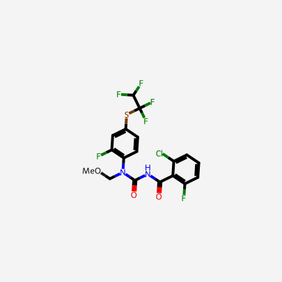 COCN(C(=O)NC(=O)c1c(F)cccc1Cl)c1ccc(SC(F)(F)C(F)F)cc1F